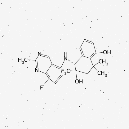 Cc1ncc2c(N[C@@H]3c4cccc(O)c4C(C)(C)C[C@]3(O)C(F)(F)F)ccc(F)c2n1